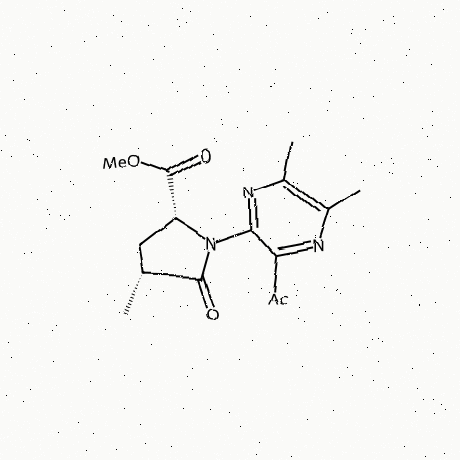 COC(=O)[C@H]1C[C@@H](C)C(=O)N1c1nc(C)c(C)nc1C(C)=O